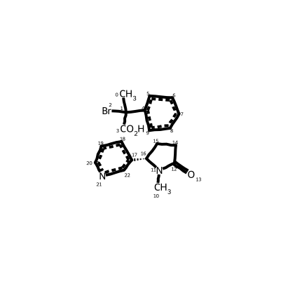 CC(Br)(C(=O)O)c1ccccc1.CN1C(=O)CC[C@H]1c1cccnc1